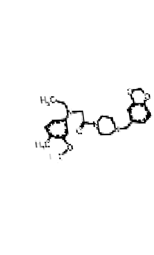 CCN(CC(=O)N1CCN(Cc2ccc3c(c2)OCO3)CC1)c1ccc(C)c(OC)c1